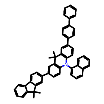 CC1(C)c2ccccc2-c2ccc(-c3ccc4c(c3)C(C)(C)c3cc(-c5ccc(-c6ccccc6)cc5)ccc3N4c3cccc4ccccc34)cc21